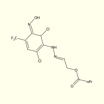 CCCC(=O)OCC=NNC1=C(Cl)C=C(C(F)(F)F)C(=NO)C1Cl